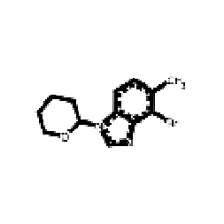 Cc1ccc2c(ncn2C2CCCCO2)c1Br